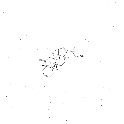 CC(=O)OC[C@@H](C)[C@H]1CC[C@H]2[C@@H]3CC(=O)[C@H]4CC=CC[C@]4(C)[C@H]3CC[C@]12C